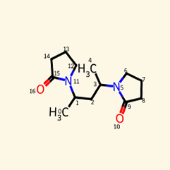 CC(CC(C)N1CCCC1=O)N1CCCC1=O